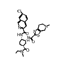 CCN(C)C(=O)[C@H]1CC[C@H](NC(=O)c2cc3ccc(Cl)cc3cn2)[C@H](NC(=O)c2nc3c(s2)CN(C)CC3)C1